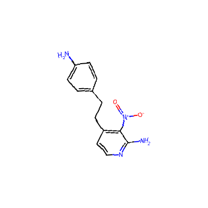 Nc1ccc(CCc2ccnc(N)c2[N+](=O)[O-])cc1